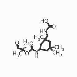 CC1(C)CC(NC(=O)OC(C)(C)C=O)CC(C)(CNC(=O)O)C1